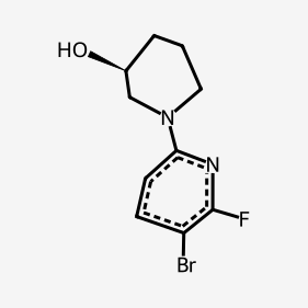 O[C@H]1CCCN(c2ccc(Br)c(F)n2)C1